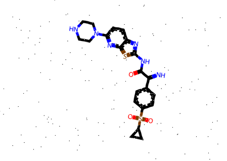 N=C(C(=O)Nc1nc2ccc(N3CCNCC3)nc2s1)c1ccc(S(=O)(=O)C2CC2)cc1